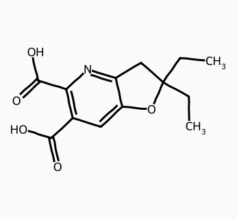 CCC1(CC)Cc2nc(C(=O)O)c(C(=O)O)cc2O1